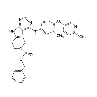 Cc1ccc(Oc2ccc(Nc3ncnc4[nH]c5c(c34)CN(C(=O)OCc3ccccc3)CC5)cc2C)cn1